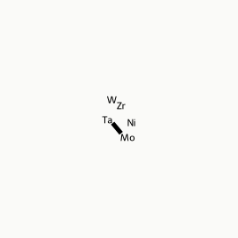 [Mo][Ta].[Ni].[W].[Zr]